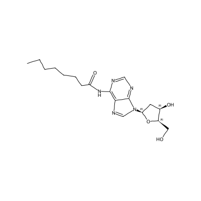 CCCCCCCC(=O)Nc1ncnc2c1ncn2[C@H]1C[C@@H](O)[C@@H](CO)O1